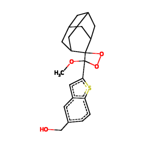 COC1(c2cc3cc(CO)ccc3s2)OOC12C1CC3CC(C1)CC2C3